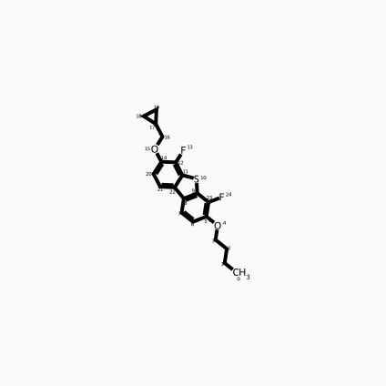 CCCCOc1ccc2c(sc3c(F)c(OCC4CC4)ccc32)c1F